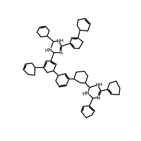 C1=CC(C2N=C(C3=CCCCC3)NC(C3CCCC(C4=CC(C5C=C(C6N=C(C7=CCCC(C8CC=CCC8)=C7)NC(C7CC=CCC7)N6)C=C(C6CC=CCC6)C5)CC=C4)C3)N2)=CCC1